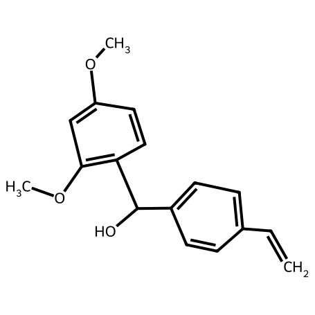 C=Cc1ccc(C(O)c2ccc(OC)cc2OC)cc1